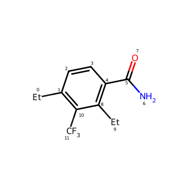 CCc1ccc(C(N)=O)c(CC)c1C(F)(F)F